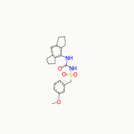 COc1cccc(CS(=O)(=O)NC(=O)Nc2c3c(cc4c2CCC4)CCC3)c1